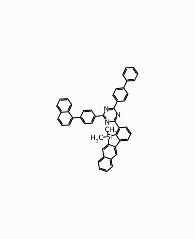 C[Si]1(C)c2cc3ccccc3cc2-c2cccc(-c3nc(-c4ccc(-c5ccccc5)cc4)nc(-c4ccc(-c5cccc6ccccc56)cc4)n3)c21